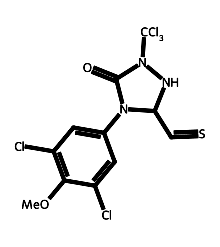 COc1c(Cl)cc(N2C(=O)N(C(Cl)(Cl)Cl)NC2C=S)cc1Cl